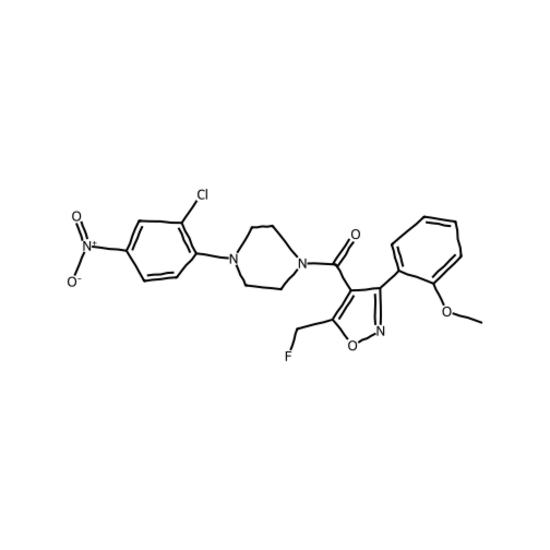 COc1ccccc1-c1noc(CF)c1C(=O)N1CCN(c2ccc([N+](=O)[O-])cc2Cl)CC1